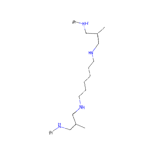 CC(CNCCCCCCNCC(C)CNC(C)C)CNC(C)C